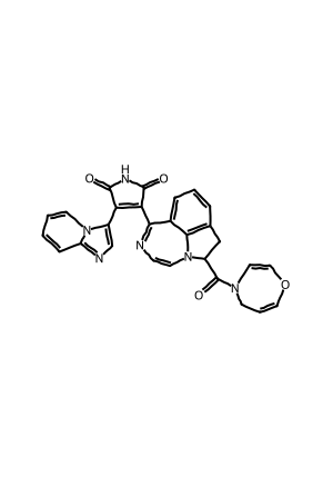 O=C1NC(=O)C(c2cnc3ccccn23)=C1C1=NC=CN2c3c(cccc31)CC2C(=O)N1C=COC=CC1